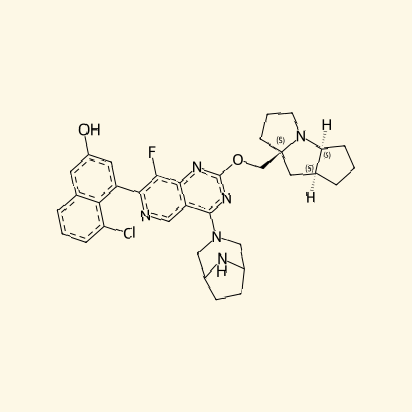 Oc1cc(-c2ncc3c(N4CC5CCC(C4)N5)nc(OC[C@@]45CCCN4[C@H]4CCC[C@H]4C5)nc3c2F)c2c(Cl)cccc2c1